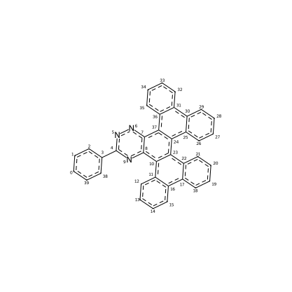 c1ccc(-c2nnc3c(n2)c2c4ccccc4c4ccccc4c2c2c4ccccc4c4ccccc4c32)cc1